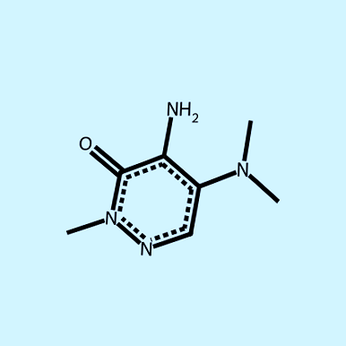 CN(C)c1cnn(C)c(=O)c1N